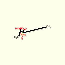 C=CCC(C(=O)O)C(CCCCCCCCCCCC)(C(=O)O)S(=O)(=O)O